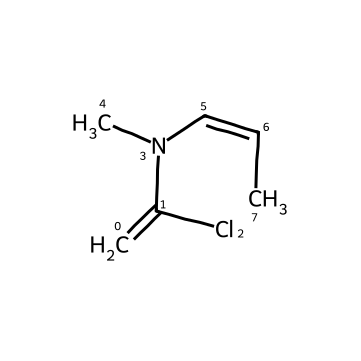 C=C(Cl)N(C)/C=C\C